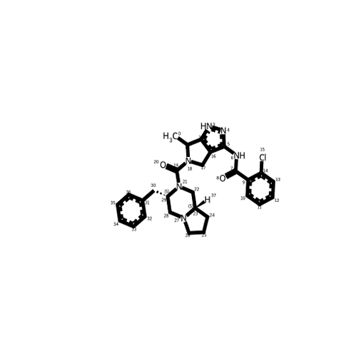 CC1c2[nH]nc(NC(=O)c3ccccc3Cl)c2CN1C(=O)N1C[C@@H]2CCCN2C[C@@H]1Cc1ccccc1